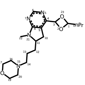 CCCC1OC(c2ncnc3c2CC(CCCN2CCOCC2)N3C)O1